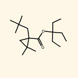 CCC(CC)(CC)OC(=O)C1(CC(C)(C)C)CC1(C)C